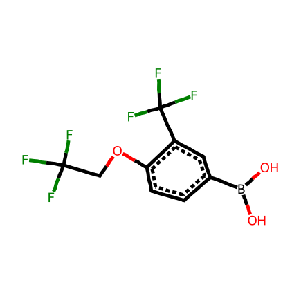 OB(O)c1ccc(OCC(F)(F)F)c(C(F)(F)F)c1